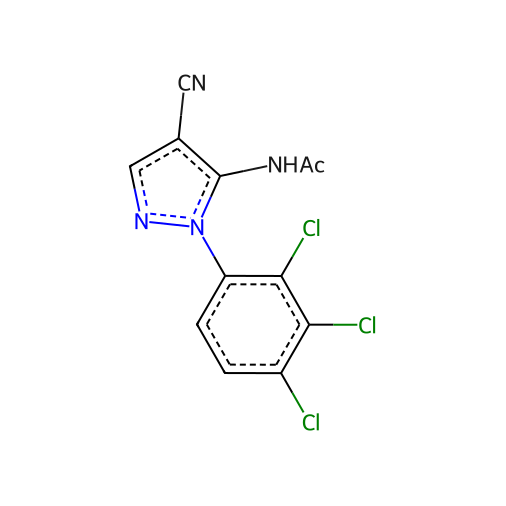 CC(=O)Nc1c(C#N)cnn1-c1ccc(Cl)c(Cl)c1Cl